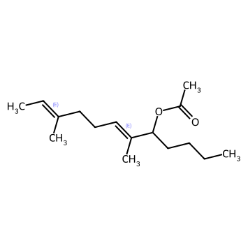 C/C=C(\C)CC/C=C(\C)C(CCCC)OC(C)=O